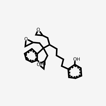 Oc1ccccc1CCCCC(CC1CO1)C(CC1CO1)(CC1CO1)c1ccccc1O